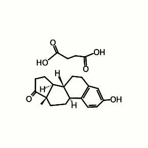 C[C@]12CC[C@@H]3c4ccc(O)cc4CC[C@H]3[C@@H]1CCC2=O.O=C(O)CCC(=O)O